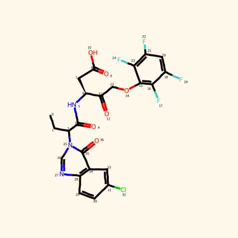 CCC(C(=O)N[C@@H](CC(=O)O)C(=O)COc1c(F)c(F)cc(F)c1F)n1cnc2ccc(Cl)cc2c1=O